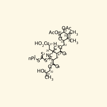 CCCSC(=S)SCC(CC(C(=O)OCC1O[C@H](OC(C)=O)C(OC(C)=O)[C@@H](C)[C@@H]1C)C(C)(C#N)CCC(=O)O)C(=O)OCC(C)O